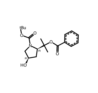 CC(C)(C)OC(=O)N1C[C@H](O)C[C@@H]1C(C)(C)OC(=O)c1ccccc1